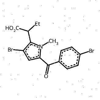 CCC(C(=O)O)c1c(Br)cc(C(=O)c2ccc(Br)cc2)n1C